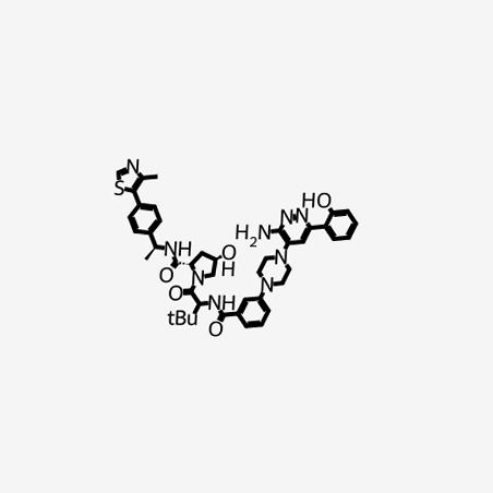 Cc1ncsc1-c1ccc([C@H](C)NC(=O)[C@@H]2C[C@@H](O)CN2C(=O)C(NC(=O)c2cccc(N3CCN(c4cc(-c5ccccc5O)nnc4N)CC3)c2)C(C)(C)C)cc1